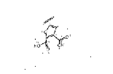 C=C.O=C(O)c1ccoc1C(=O)O